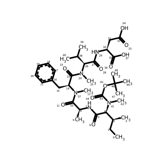 CC[C@H](C)[C@@H](C(=O)N[C@@H](C)C(=O)N(C)[C@@H](Cc1ccccc1)C(=O)N(C)[C@H](C(=O)N[C@@H](CC(=O)O)C(=O)O)C(C)C)N(C)C(=O)OC(C)(C)C